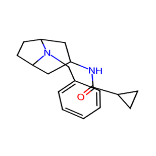 O=C(NC1CC2CCC(C1)N2Cc1ccccc1)C1CC1